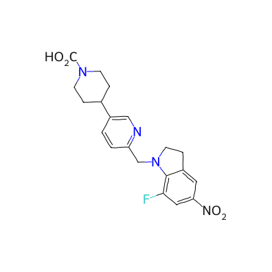 O=C(O)N1CCC(c2ccc(CN3CCc4cc([N+](=O)[O-])cc(F)c43)nc2)CC1